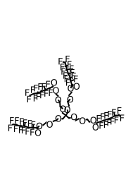 O=C(OCCOCCOCC(COCCOCCOC(=O)C(F)(F)C(F)(F)C(F)(F)C(F)(F)C(F)(F)C(F)F)(COCCOCCOC(=O)C(F)(F)C(F)(F)C(F)(F)C(F)(F)C(F)(F)C(F)F)COCCOCCOC(=O)C(F)(F)C(F)(F)C(F)(F)C(F)(F)C(F)(F)C(F)F)C(F)(F)C(F)(F)C(F)(F)C(F)(F)C(F)(F)C(F)F